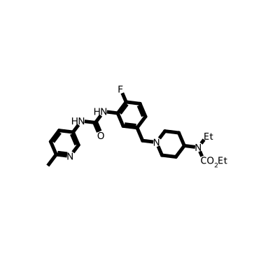 CCOC(=O)N(CC)C1CCN(Cc2ccc(F)c(NC(=O)Nc3ccc(C)nc3)c2)CC1